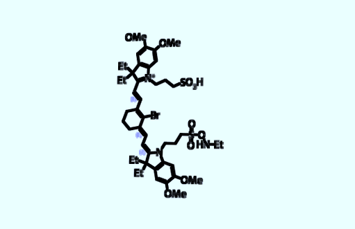 CCNOS(=O)(=O)CCCN1/C(=C\C=C2/CCCC(/C=C/C3=[N+](CCCS(=O)(=O)O)c4cc(OC)c(OC)cc4C3(CC)CC)=C2Br)C(CC)(CC)c2cc(OC)c(OC)cc21